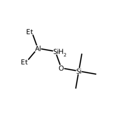 C[CH2][Al]([CH2]C)[SiH2]O[Si](C)(C)C